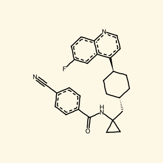 N#Cc1ccc(C(=O)NC2(C[C@H]3CC[C@H](c4ccnc5ccc(F)cc54)CC3)CC2)cc1